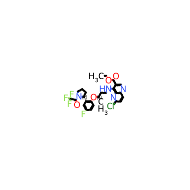 CCOC(=O)c1cnc2ccc(Cl)nc2c1NCC[C@H](C)Oc1ccc(F)cc1[C@H]1CCCN1C(=O)C(F)(F)F